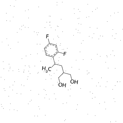 CC(CC(CO)CO)c1ccc(F)cc1F